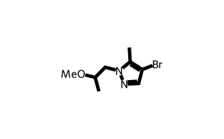 COC(C)Cn1ncc(Br)c1C